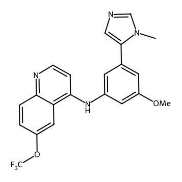 COc1cc(Nc2ccnc3ccc(OC(F)(F)F)cc23)cc(-c2cncn2C)c1